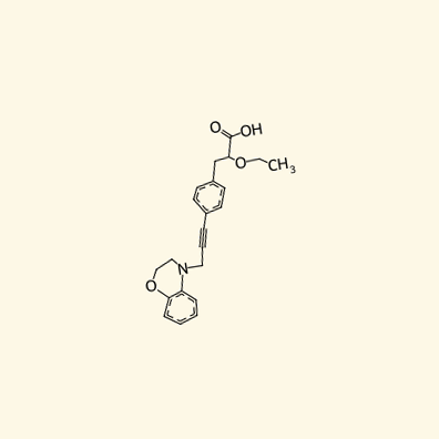 CCOC(Cc1ccc(C#CCN2CCOc3ccccc32)cc1)C(=O)O